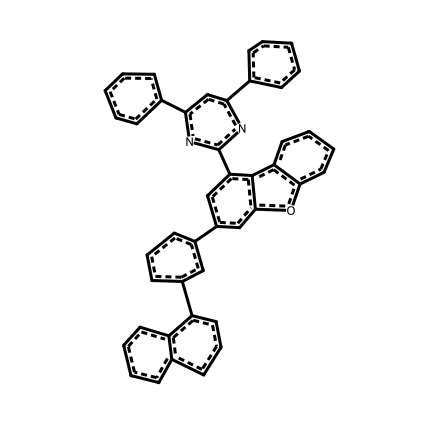 c1ccc(-c2cc(-c3ccccc3)nc(-c3cc(-c4cccc(-c5cccc6ccccc56)c4)cc4oc5ccccc5c34)n2)cc1